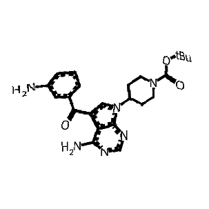 CC(C)(C)OC(=O)N1CCC(n2cc(C(=O)c3cccc(N)c3)c3c(N)ncnc32)CC1